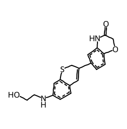 O=C1COc2ccc(C3=Cc4ccc(NCCO)cc4SC3)cc2N1